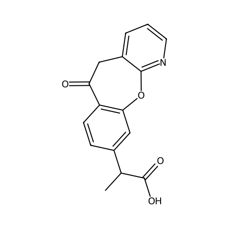 CC(C(=O)O)c1ccc2c(c1)Oc1ncccc1CC2=O